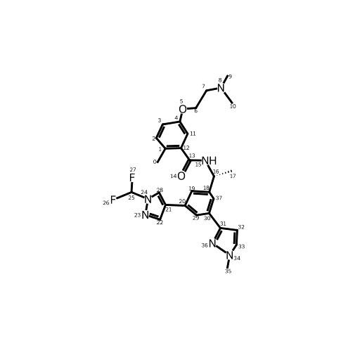 Cc1ccc(OCCN(C)C)cc1C(=O)N[C@H](C)c1cc(-c2cnn(C(F)F)c2)cc(-c2ccn(C)n2)c1